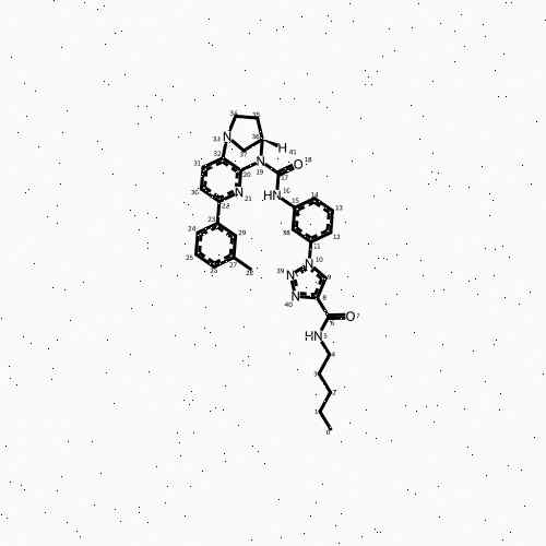 CCCCCNC(=O)c1cn(-c2cccc(NC(=O)N3c4nc(-c5cccc(C)c5)ccc4N4CC[C@H]3C4)c2)nn1